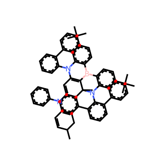 CC1C=CC(N(C2=CC3=C4B(c5ccc(C(C)(C)C)cc5N3c3ccccc3-c3ccccc3)c3ccc(C(C)(C)C)cc3N(c3c(-c5ccccc5)cccc3-c3ccccc3)C4(C)C2)c2ccccc2)=CC1